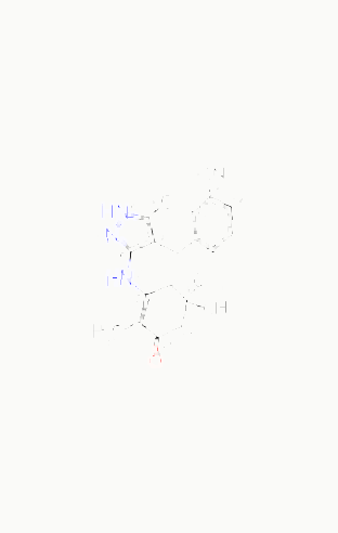 CC1=C(Nc2n[nH]c(C)c2Cc2cccc(C#N)c2)CC(C)(C)CC1=O